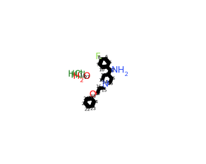 Cl.Cl.NC(c1ccc(F)cc1)C1CCN(CCCOc2ccccc2)CC1.O